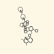 Cc1cc(C)c2cccc(OCc3c(Cl)ccc(S(=O)(=O)N4CCC[C@H]4C(=O)N4CCC(N5CCCCC5)CC4)c3Cl)c2n1